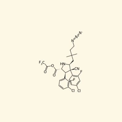 CC(C)(CCN=[N+]=[N-])C[C@@H]1N[C@@H](C(=O)OC(=O)C(F)(F)F)[C@H](c2cccc(Cl)c2F)[C@@]1(C#N)c1ccc(Cl)cc1F